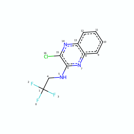 FC(F)(F)CNc1nc2ccccc2nc1Cl